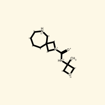 CC1(NC(=O)N2CC3(CCCCNC3)C2)COC1